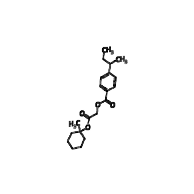 CCC(C)c1ccc(C(=O)OCC(=O)OC2(C)CCCCC2)cc1